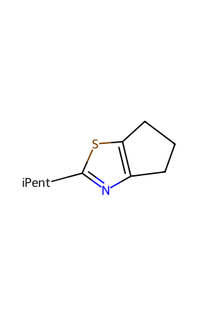 CCCC(C)c1nc2c(s1)CCC2